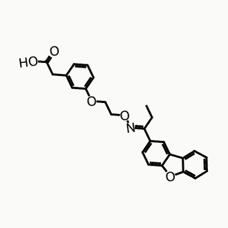 CCC(=NOCCOc1cccc(CC(=O)O)c1)c1ccc2oc3ccccc3c2c1